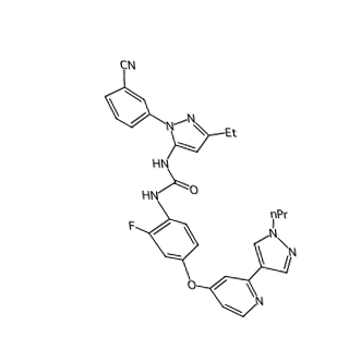 CCCn1cc(-c2cc(Oc3ccc(NC(=O)Nc4cc(CC)nn4-c4cccc(C#N)c4)c(F)c3)ccn2)cn1